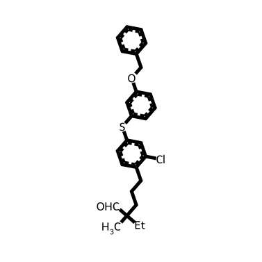 CCC(C)(C=O)CCCc1ccc(Sc2cccc(OCc3ccccc3)c2)cc1Cl